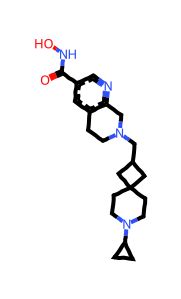 O=C(NO)c1cnc2c(c1)CCN(CC1CC3(CCN(C4CC4)CC3)C1)C2